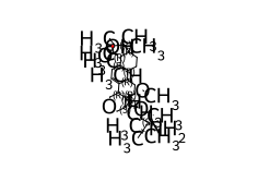 CO[C@@H]1C[C@@]23COC[C@](C)([C@@H]2CC[C@H]2C3=CC[C@@]3(C)[C@H](C(=O)O)[C@@](C)([C@H](C)C(C)C)CC[C@]23C)[C@H]1OC[C@@](C)(N)C(C)(C)C